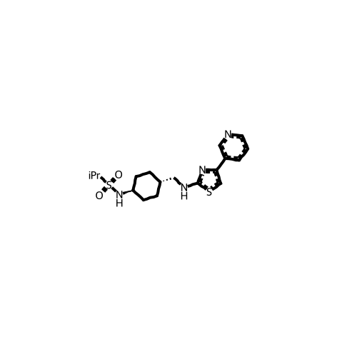 CC(C)S(=O)(=O)N[C@H]1CC[C@H](CNc2nc(-c3cccnc3)cs2)CC1